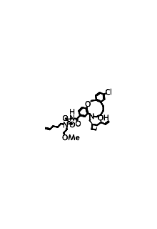 C=CCCCN(CCOC)S(=O)(=O)NC(=O)c1ccc2c(c1)N(C[C@@H]1CC[C@H]1[C@@H](O)C=C)CCCCc1cc(Cl)ccc1CO2